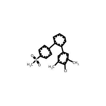 Cc1cc(-c2ccccc2-c2ccc(S(C)(=O)=O)cc2)cc(C)c1Cl